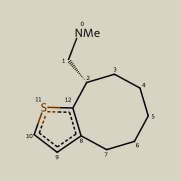 CNC[C@@H]1CCCCCc2ccsc21